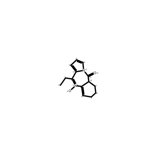 CCC1=[N+]([O-])C2=CCCCC2C(=O)n2cccc21